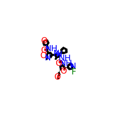 COCC[C@@H]1C[C@@H](NC(=O)Nc2c(C)c(-c3cc(C(=O)NC4CCOCC4)c(=O)n(C)c3)nn2-c2ccccc2)[C@H](c2ccnc(F)c2)O1